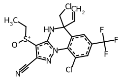 C=CC1(CCl)Nc2c([S+]([O-])CC)c(C#N)nn2-c2c(Cl)cc(C(F)(F)F)cc21